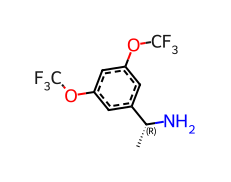 C[C@@H](N)c1cc(OC(F)(F)F)cc(OC(F)(F)F)c1